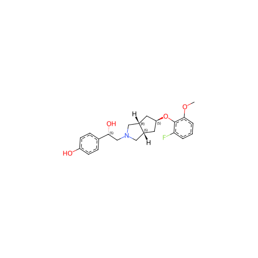 COc1cccc(F)c1O[C@H]1C[C@@H]2CN(C[C@@H](O)c3ccc(O)cc3)C[C@@H]2C1